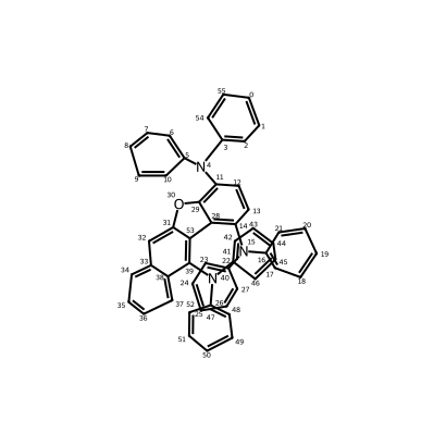 c1ccc(N(c2ccccc2)c2ccc(N(c3ccccc3)c3ccccc3)c3c2oc2cc4ccccc4c(N(c4ccccc4)c4ccccc4)c23)cc1